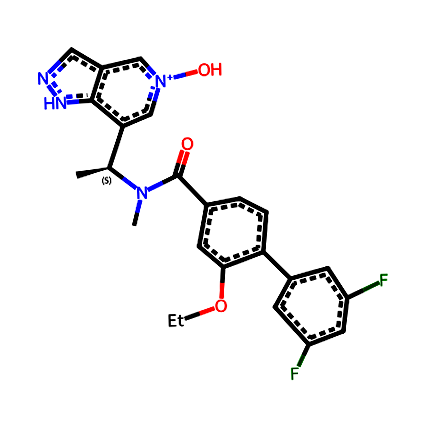 CCOc1cc(C(=O)N(C)[C@@H](C)c2c[n+](O)cc3cn[nH]c23)ccc1-c1cc(F)cc(F)c1